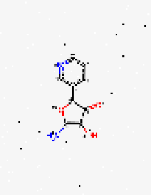 NC1=C(O)C(=O)C(c2cccnc2)O1